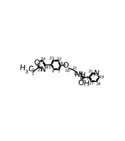 CCc1nc(-c2ccc(OCCNC[C@H](O)c3cccnc3)cc2)co1